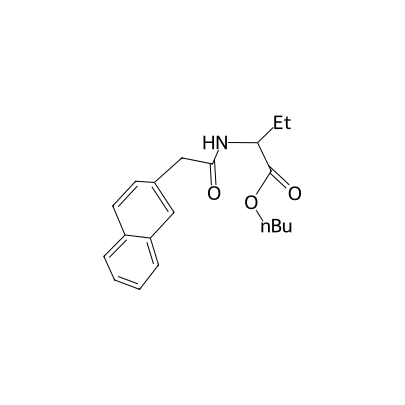 CCCCOC(=O)C(CC)NC(=O)Cc1ccc2ccccc2c1